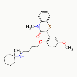 COc1ccc(OCCCCNC2(C)CCCCC2)c(C2Sc3ccccc3N(C)C2=O)c1